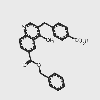 O=C(O)c1ccc(Cc2cnc3ccc(C(=O)OCc4ccccc4)cc3c2O)cc1